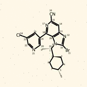 C[C@@H]([C@H]1CC[C@H](C)CC1)n1c(Br)nc2cc(C#N)nc(-c3cncc(Cl)c3)c21